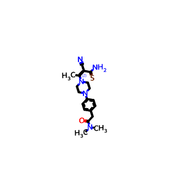 C/C(=C(\C#N)C(N)=S)N1CCN(c2ccc(CC(=O)N(C)C)cc2)CC1